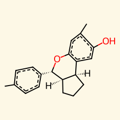 Cc1ccc([C@@H]2Oc3cc(C)c(O)cc3[C@H]3CCC[C@H]32)cc1